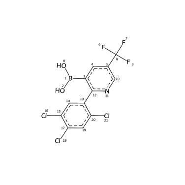 OB(O)c1cc(C(F)(F)F)cnc1-c1cc(Cl)c(Cl)cc1Cl